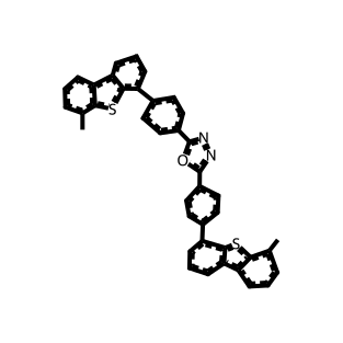 Cc1cccc2c1sc1c(-c3ccc(-c4nnc(-c5ccc(-c6cccc7c6sc6c(C)cccc67)cc5)o4)cc3)cccc12